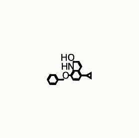 OC1C=Cc2c(C3CC3)ccc(OCc3ccccc3)c2N1